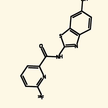 O=C(Nc1nc2ccc(O)cc2s1)c1cccc([18F])n1